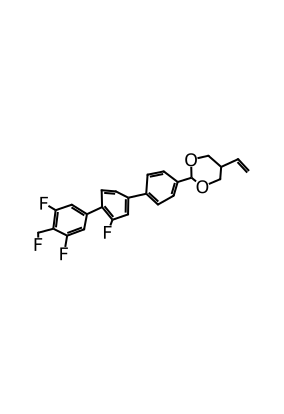 C=CC1COC(c2ccc(-c3ccc(-c4cc(F)c(CF)c(F)c4)c(F)c3)cc2)OC1